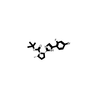 C[C@H]1CC[C@@H](c2ncc(-c3ccc(Br)cc3F)[nH]2)N1C(=O)OC(C)(C)C